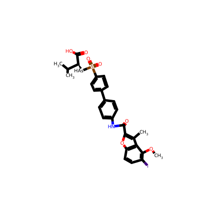 COc1c(I)ccc2oc(C(=O)Nc3ccc(-c4ccc(S(=O)(=O)[AsH][C@H](C(=O)O)C(C)C)cc4)cc3)c(C)c12